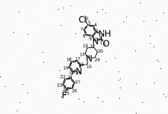 O=c1[nH]c2cc(Cl)ccc2n1C1CCN(Cc2cccc(-c3ccc(F)cc3)n2)CC1